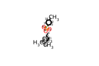 Cc1ccc(S(=O)(=O)OCC/C=C\[Si](C)(C)C)cc1